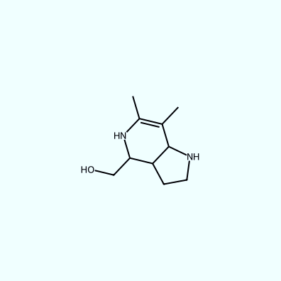 CC1=C(C)C2NCCC2C(CO)N1